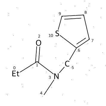 CCC(=O)N(C)Cc1cccs1